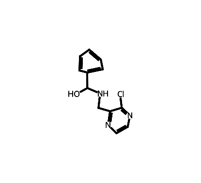 OC(NCc1nccnc1Cl)c1ccccc1